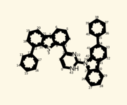 C1=CC(c2cccc3c2sc2c(-c4ccccc4)cccc23)=NC(n2c3ccccc3c3ccc(-c4ccccc4)cc32)N1